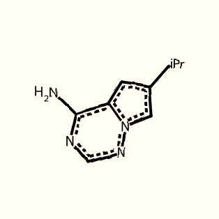 CC(C)c1cc2c(N)ncnn2c1